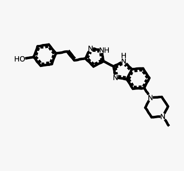 CN1CCN(c2ccc3[nH]c(-c4cc(C=Cc5ccc(O)cc5)n[nH]4)nc3c2)CC1